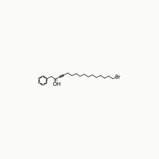 O[C@H](C#CCCCCCCCCCCCCBr)Cc1ccccc1